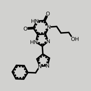 O=c1[nH]c(=O)n(CCCO)c2nc(-c3cnn(Cc4ccccc4)c3)[nH]c12